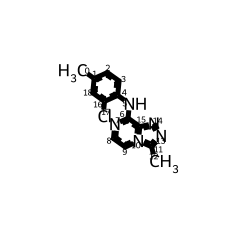 Cc1ccc(Nc2nccn3c(C)nnc23)c(Cl)c1